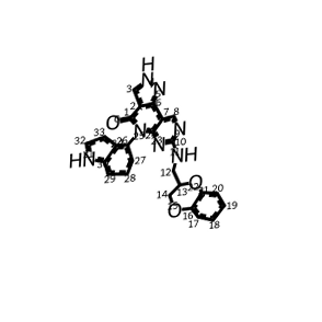 O=c1c2c[nH]nc2c2cnc(NCC3COc4ccccc4O3)nc2n1-c1cccc2[nH]ccc12